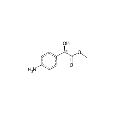 COC(=O)[C@H](O)c1ccc(N)cc1